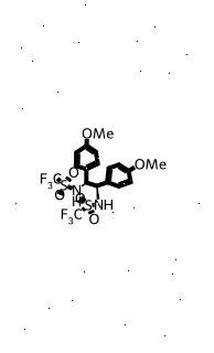 COc1ccc([C@@H](NS(=O)(=O)C(F)(F)F)[C@H](NS(=O)(=O)C(F)(F)F)c2ccc(OC)cc2)cc1